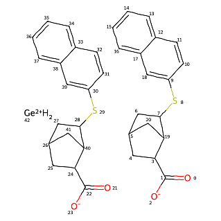 O=C([O-])C1CC2CC(Sc3ccc4ccccc4c3)C1C2.O=C([O-])C1CC2CC(Sc3ccc4ccccc4c3)C1C2.[GeH2+2]